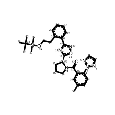 Cc1ccc(-n2nccn2)c(C(=O)N2CCC[C@H]2c2nc(-c3ccccc3CCO[Si](C)(C)C(C)(C)C)no2)c1